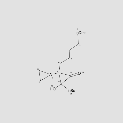 CCCCCCCCCCCCCCC1(N2CC2)C(=O)C1(O)CCCC